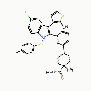 CCCC1(C(=O)OC)CCC(c2cccc(-c3c(-c4ccsc4C#N)c4cc(F)ccc4n3Sc3ccc(C)cc3)c2)CC1